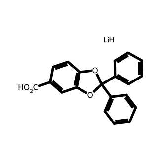 O=C(O)c1ccc2c(c1)OC(c1ccccc1)(c1ccccc1)O2.[LiH]